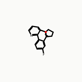 Fc1ccc2c(c1)C13CCCC1(CCC3)c1cccnc1-2